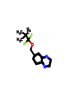 CC(C)(C)C(F)(F)OCc1ccc2nccnc2c1